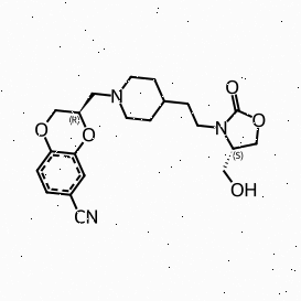 N#Cc1ccc2c(c1)O[C@H](CN1CCC(CCN3C(=O)OC[C@@H]3CO)CC1)CO2